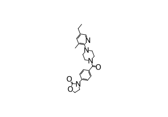 CCc1cnc(N2CCN(C(=O)c3ccc(N4CCOC4=O)cc3)CC2)c(C)c1